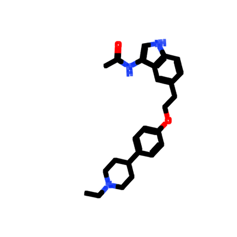 CCN1CCC(c2ccc(OCCc3ccc4[nH]cc(NC(C)=O)c4c3)cc2)CC1